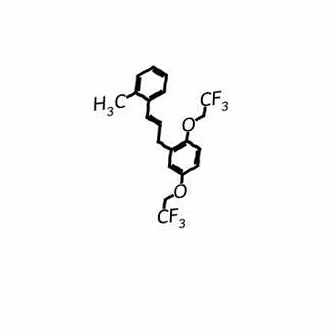 Cc1ccccc1C=CCc1cc(OCC(F)(F)F)ccc1OCC(F)(F)F